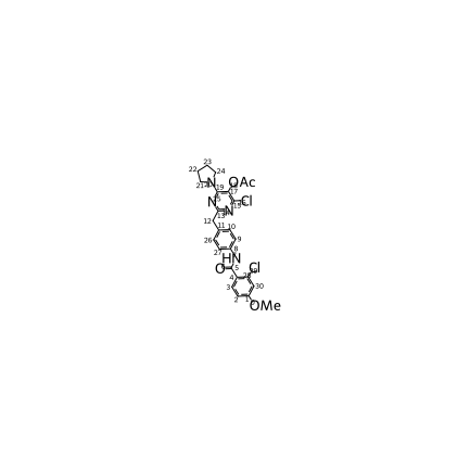 COc1ccc(C(=O)Nc2ccc(Cc3nc(Cl)c(OC(C)=O)c(N4CCCC4)n3)cc2)c(Cl)c1